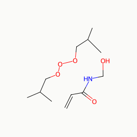 C=CC(=O)NCO.CC(C)COOOCC(C)C